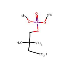 CC(C)(COP(=O)(OC(C)(C)C)OC(C)(C)C)CC(=O)O